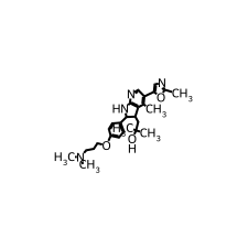 Cc1ncc(-c2cnc3c(c2C)C(CC(C)(C)O)C(c2ccc(OCCCN(C)C)cc2)N3)o1